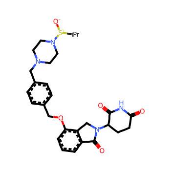 CC(C)[S+]([O-])N1CCN(Cc2ccc(COc3cccc4c3CN(C3CCC(=O)NC3=O)C4=O)cc2)CC1